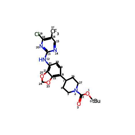 CC(C)(C)OC(=O)N1CCC(c2ccc(Nc3ncc(C(F)(F)F)c(Cl)n3)c3c2OCO3)CC1